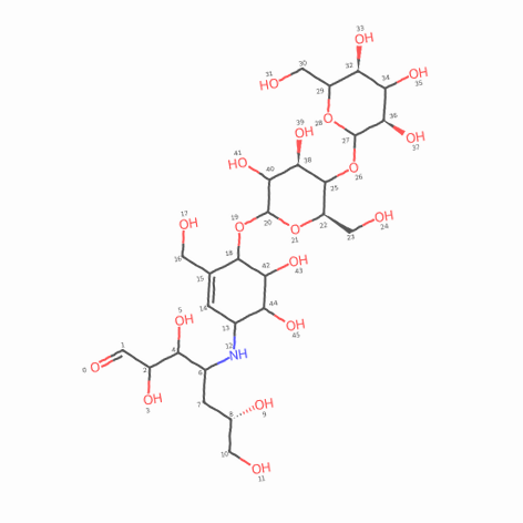 O=CC(O)C(O)C(C[C@H](O)CO)NC1C=C(CO)C(OC2O[C@H](CO)C(OC3OC(CO)[C@@H](O)C(O)[C@H]3O)[C@H](O)C2O)C(O)C1O